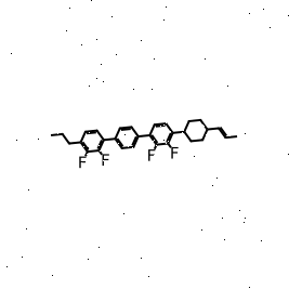 C/C=C/C1CCC(c2ccc(-c3ccc(-c4ccc(CCC)c(F)c4F)cc3)c(F)c2F)CC1